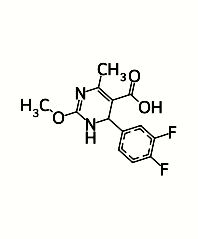 COC1=NC(C)=C(C(=O)O)C(c2ccc(F)c(F)c2)N1